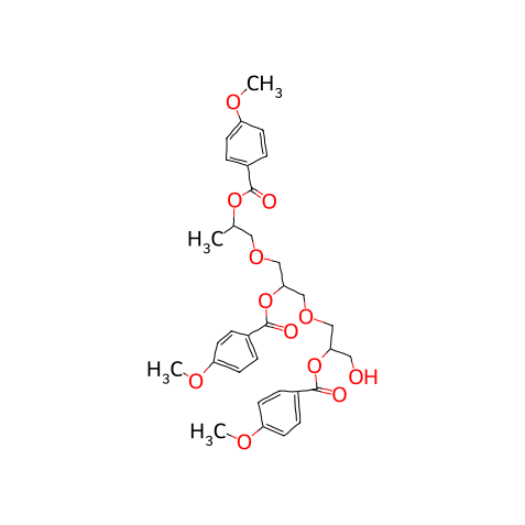 COc1ccc(C(=O)OC(C)COCC(COCC(CO)OC(=O)c2ccc(OC)cc2)OC(=O)c2ccc(OC)cc2)cc1